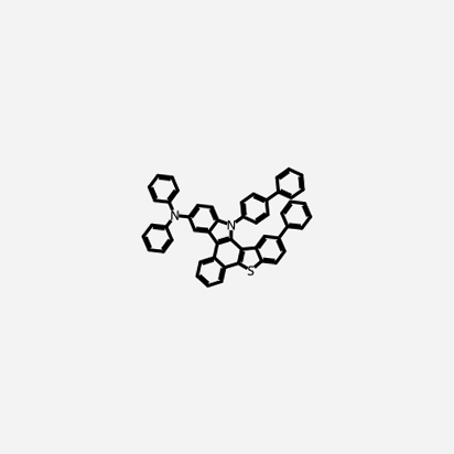 c1ccc(-c2ccc(-n3c4ccc(N(c5ccccc5)c5ccccc5)cc4c4c5ccccc5c5sc6ccc(-c7ccccc7)cc6c5c43)cc2)cc1